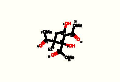 CCC(CCO)(C(=O)OC)C(O)(CC(=O)OC)C(=O)OC